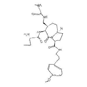 CC[C@H](N)C(=O)N[C@@H]1C(=O)N2[C@@H](CC[C@@H]1CNC(=O)NC)CC[C@H]2C(=O)NCCc1ccc(OC)cc1